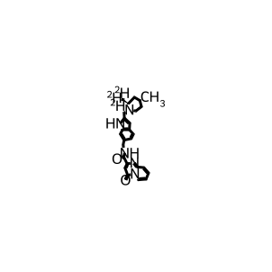 [2H]C([2H])([2H])[C@H]1C[C@@H](C)CCN1Cc1cc2ccc(CNC(=O)c3cc(=O)n4ccccc4n3)cc2[nH]1